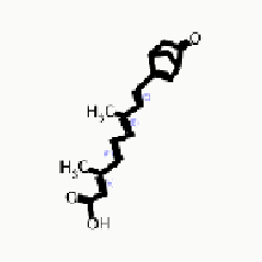 CC(/C=C/C1=CC2CC1CC2=O)=C\C=C\C(C)=C\C(=O)O